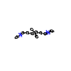 Cn1c(-c2ccccc2)nc2cc(-c3ccc(-c4ccc5c(-c6ccccc6)c6cc(-c7ccc(-c8ccc9c(c8)nc(-c8ccccc8)n9C)cc7)ccc6c(-c6ccccc6)c5c4)cc3)ccc21